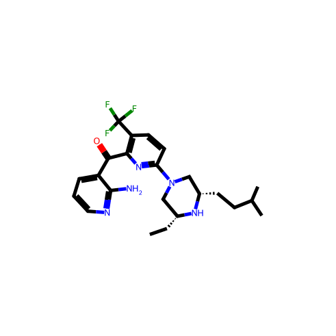 CC[C@@H]1CN(c2ccc(C(F)(F)F)c(C(=O)c3cccnc3N)n2)C[C@H](CCC(C)C)N1